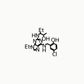 CCC(Nc1nc(NCc2cc(Cl)ccc2O)c2ncn(CC)c2n1)C(C)O